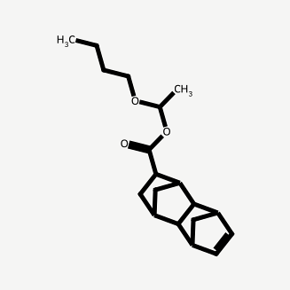 CCCCOC(C)OC(=O)C1CC2CC1C1C3C=CC(C3)C21